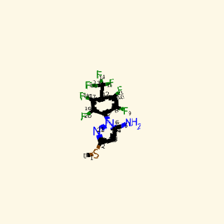 CSc1cc(N)n(-c2c(F)c(F)c(C(F)(F)F)c(F)c2F)n1